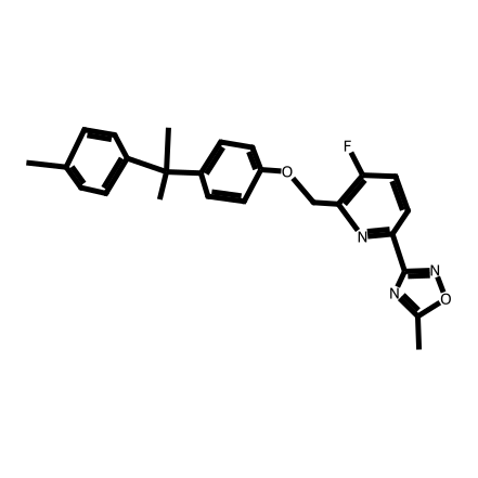 Cc1ccc(C(C)(C)c2ccc(OCc3nc(-c4noc(C)n4)ccc3F)cc2)cc1